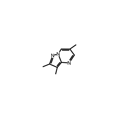 Cc1cnc2c(C)c(C)nn2c1